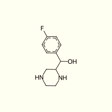 OC(c1ccc(F)cc1)C1CNCCN1